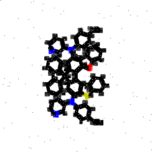 CC(C)(C)c1ccc(N(c2cccnc2)c2cc3c(c4c2sc2ccccc24)-c2c(cc(N(c4ccc(C(C)(C)C)cc4)c4cccnc4)c4c2oc2ccccc24)C32c3ccccc3-c3ccccc32)cc1